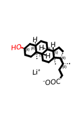 C[C@H](CCC(=O)[O-])[C@H]1CC[C@H]2[C@@H]3CC[C@@H]4C[C@H](O)CC[C@]4(C)[C@H]3CC[C@]12C.[Li+]